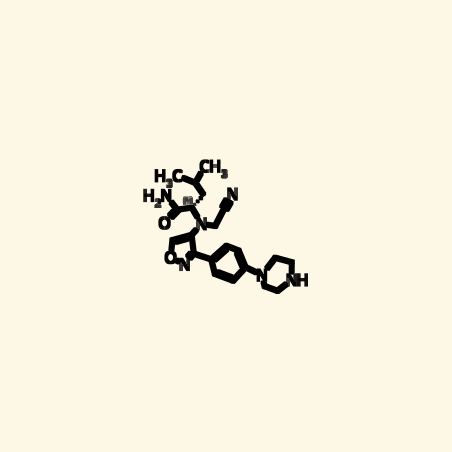 CC(C)C[C@@H](C(N)=O)N(CC#N)c1conc1-c1ccc(N2CCNCC2)cc1